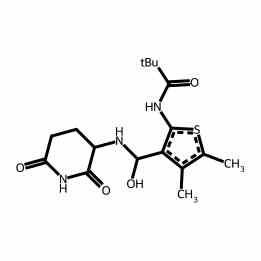 Cc1sc(NC(=O)C(C)(C)C)c(C(O)NC2CCC(=O)NC2=O)c1C